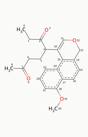 CCC(=O)C(CCC(C)=O)C1=COCc2ccc3c(OC)cccc3c21